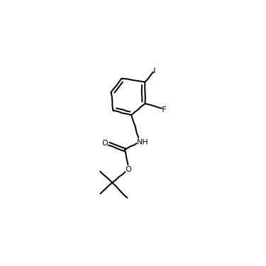 CC(C)(C)OC(=O)Nc1cccc(I)c1F